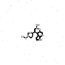 CCSN1CCC(C2=CB(O)Oc3cnc4[nH]ccc4c32)CC1